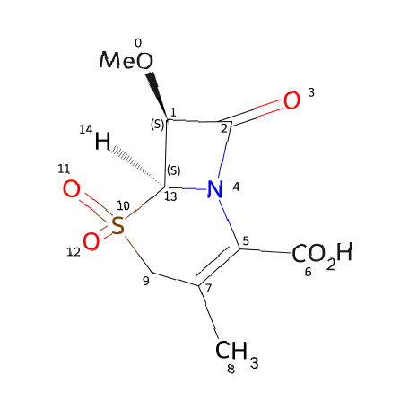 CO[C@H]1C(=O)N2C(C(=O)O)=C(C)CS(=O)(=O)[C@@H]12